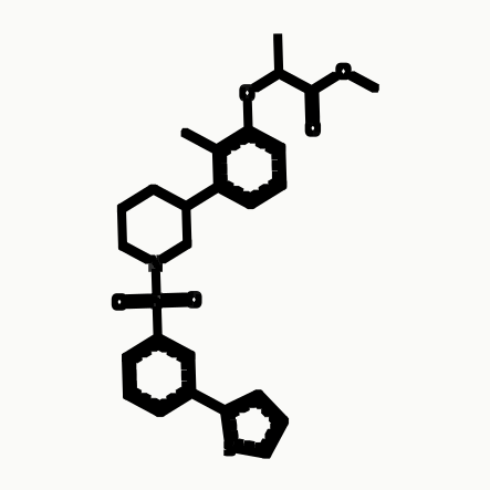 COC(=O)C(C)Oc1cccc(C2CCCN(S(=O)(=O)c3cccc(-c4cccs4)c3)C2)c1C